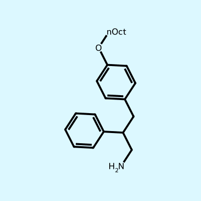 CCCCCCCCOc1ccc(CC(CN)c2ccccc2)cc1